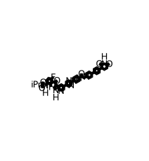 CC(C)S(=O)(=O)Nc1ccc(F)c(C(=O)c2c[nH]c3ncc(-c4cnc(N5CCN(C(=O)CN6CCC(c7ccc(C8CCC(=O)NC8=O)cc7)CC6)CC5)nc4)cc23)c1F